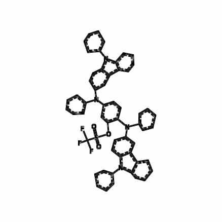 O=S(=O)(Oc1cc(N(c2ccccc2)c2ccc3c(c2)c2ccccc2n3-c2ccccc2)ccc1N(c1ccccc1)c1ccc2c(c1)c1ccccc1n2-c1ccccc1)C(F)(F)F